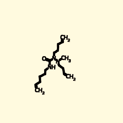 C=CCCCCNC(=O)N(CCCC=C)N(C)CCC=C